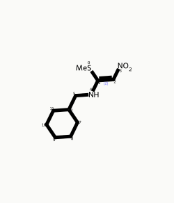 CS/C(=C\[N+](=O)[O-])NCC1CCCCC1